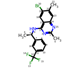 Cc1nc(N[C@H](C)c2cccc(C(F)(F)F)c2)c2cc(Br)c(C)cc2n1